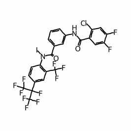 O=C(Nc1cccc(C(=O)N(I)c2ccc(C(F)(C(F)(F)F)C(F)(F)F)cc2C(F)(F)F)c1)c1cc(F)c(F)cc1Cl